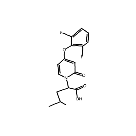 CC(C)CC(C(=O)O)n1ccc(Oc2c(F)cccc2F)cc1=O